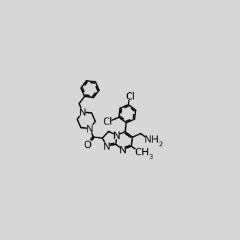 CC1=NC2=NC(C(=O)N3CCN(Cc4ccccc4)CC3)CN2C(c2ccc(Cl)cc2Cl)=C1CN